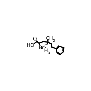 CC(C)(CCc1ccccc1)CC(Br)C(=O)O